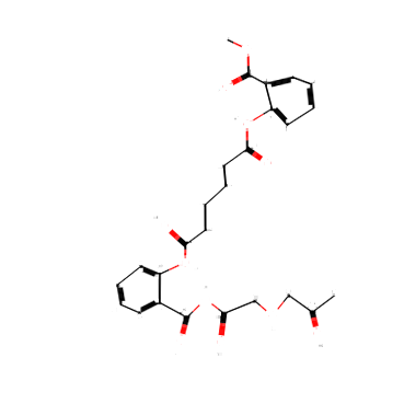 COC(=O)c1ccccc1OC(=O)CCCCC(=O)Oc1ccccc1C(=O)OC(=O)COCC(C)=O